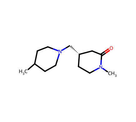 CC1CCN(C[C@H]2CCN(C)C(=O)C2)CC1